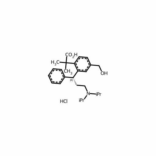 CC(C)N(CC[C@H](c1ccccc1)c1cc(CO)ccc1C(C)(C)C(=O)O)C(C)C.Cl